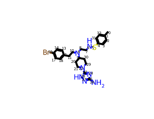 Cc1ccc(SNCCN(CCc2ccc(Br)cc2)C2CCN(c3nc(N)n[nH]3)CC2)cc1